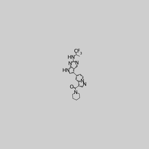 C[C@@H](Nc1ncc2c(-c3ccn4ncc(C(=O)N5CCCCC5)c4c3)c[nH]c2n1)C(F)(F)F